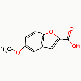 COc1ccc2oc(C(=O)O)cc2c1